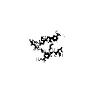 CCn1nc(C)cc1C(=O)Nc1nc2cc(C(N)=O)cc(OCCCOC(=O)c3cc(C)nn3CC)c2n1CC=CCn1c2ccc(C(N)=O)cc2c2cnc(-c3cc(C)nn3CC)nc21